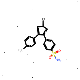 CCC1C=C(c2ccc(C(F)(F)F)cc2)C(c2ccc(S(N)(=O)=O)cc2)=C1